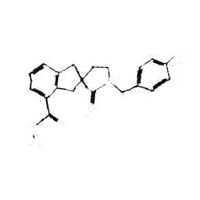 COC(=O)c1cccc2c1CC1(CCN(Cc3ccc(Cl)cc3)C1=O)C2